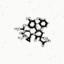 CC(C)N(C[C@H](C1CC1)N1C(=O)[C@@](C)(CC(=O)O)C[C@H](c2cccc(Cl)c2)C1c1ccc(Cl)cc1)S(C)(=O)=O